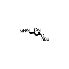 CCCCOC1=NOC(CN=[N+]=[N-])C1